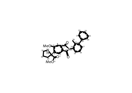 COC(=O)[C@]1(c2cc3c(cc2OC)C(=O)N(c2cccc(-c4ccccc4)c2C)C3=O)CCCN1